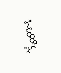 CC(CC[C@H](O)C(C)C)[C@H]1CCC2C3CC=C4C[C@@H](OC(=O)CCC(=O)O)CC[C@]4(C)C3CC[C@@]21C